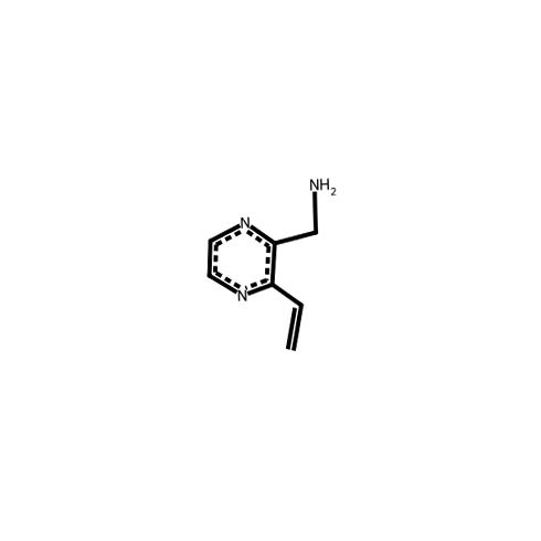 C=Cc1nccnc1CN